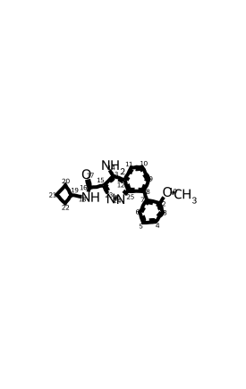 COc1ccccc1-c1cccc2c(N)c(C(=O)NC3CCC3)nnc12